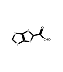 O=CC(=O)C1SC2=C(SCS2)S1